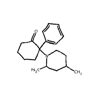 CC1CCN(C2(c3ccccc3)CCCCC2=O)C(C)C1